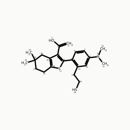 C=C(O)c1c(-c2ccc(N(C)C)cc2CCS)sc2c1CC(C)(C)CC2